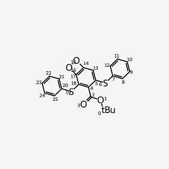 CC(C)(C)OC(=O)c1c(Sc2ccccc2)cc2ooc2c1Sc1ccccc1